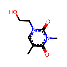 Cc1cn(CCO)c(=O)n(C)c1=O